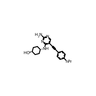 CCCc1ccc(C#Cc2cnc(N)nc2N[C@H]2CC[C@H](O)CC2)cc1